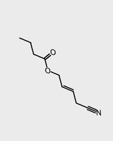 CCCC(=O)OCC=CCC#N